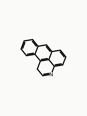 C1=Nc2cccc3cc4ccccc4c(c23)C1